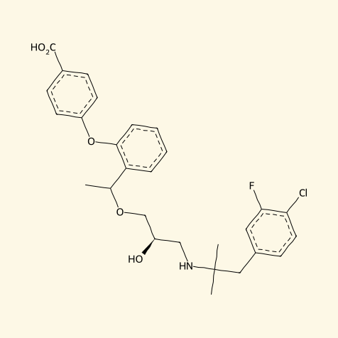 CC(OC[C@H](O)CNC(C)(C)Cc1ccc(Cl)c(F)c1)c1ccccc1Oc1ccc(C(=O)O)cc1